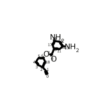 C#Cc1cccc(OC(=O)c2cc(N)cc(N)c2)c1